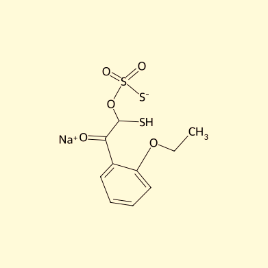 CCOc1ccccc1C(=O)C(S)OS(=O)(=O)[S-].[Na+]